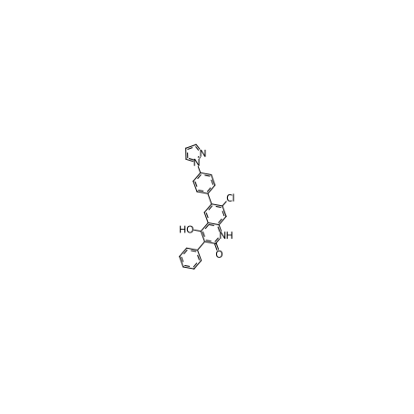 O=c1[nH]c2cc(Cl)c(-c3ccc(-n4cccn4)cc3)cc2c(O)c1-c1ccccc1